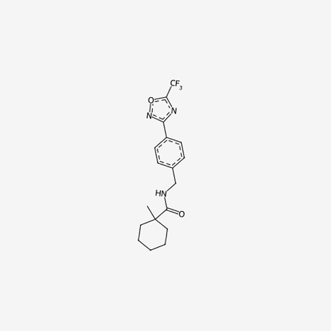 CC1(C(=O)NCc2ccc(-c3noc(C(F)(F)F)n3)cc2)CCCCC1